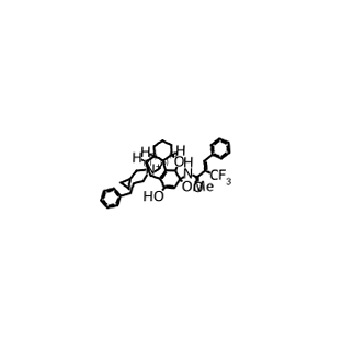 COC1(NC(=O)C(=Cc2ccccc2)C(F)(F)F)C=C(O)C2=C3C1O[C@H]1CCC[C@H]4[C@@H](C2)[N+](CCCc2ccccc2)(CC2CC2)CC[C@]314